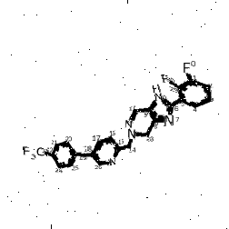 Fc1cccc(-c2nc3c([nH]2)C=NN(Cc2ccc(-c4ccc(C(F)(F)F)cc4)cn2)C3)c1F